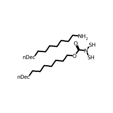 CCCCCCCCCCCCCCCCCN.CCCCCCCCCCCCCCCCCOC(=O)N(S)S